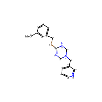 COc1cccc(CSC2=NCN(Cc3cccnc3)CN2)c1